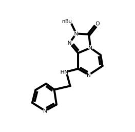 CCCCn1nc2c(NCc3cccnc3)nccn2c1=O